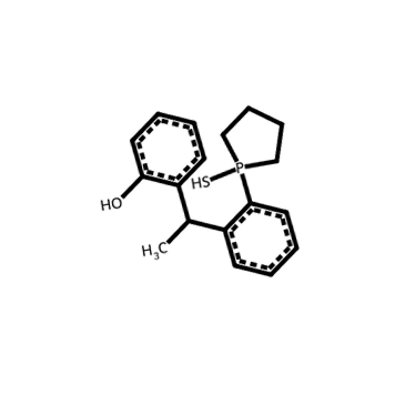 CC(c1ccccc1O)c1ccccc1[P]1(S)CCCC1